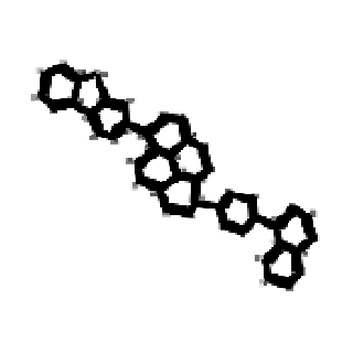 C1=CC2=C(c3ccc(-c4cccc5ccccc45)cc3)C=CC3=CC=C4C(c5ccc6c(c5)sc5ccccc56)=CC=C1C4C32